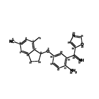 Cc1cc(C#N)cc2c1C(Oc1ccc(N)c(C(=N)c3cnco3)c1)CC2